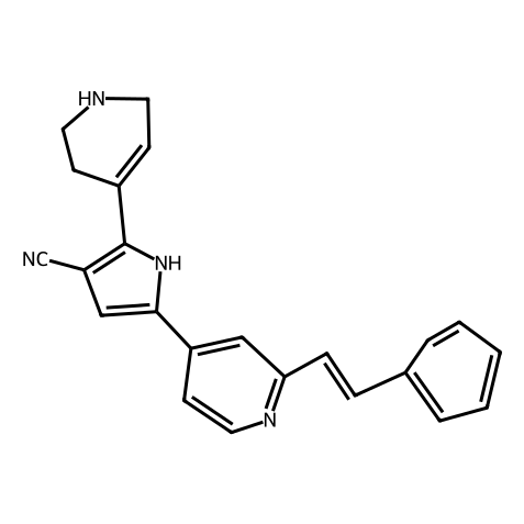 N#Cc1cc(-c2ccnc(C=Cc3ccccc3)c2)[nH]c1C1=CCNCC1